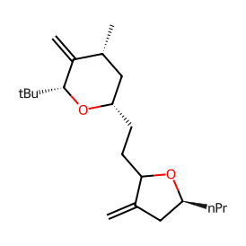 C=C1C[C@H](CCC)OC1CC[C@H]1C[C@@H](C)C(=C)[C@@H](C(C)(C)C)O1